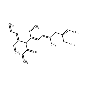 C=C/C=C(\C=C)N(C(=C)C=C)/C(C=C)=C/C=C(\C)C/C(=C/C)CC